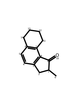 CC1Cc2ccc3c(c2C1=O)CCCC3